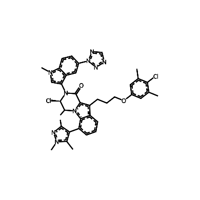 Cc1cc(OCCCc2c3n(c4c(-c5c(C)nn(C)c5C)cccc24)C(C)[C@@H](Cl)N(c2cn(C)c4ccc(-n5ncnn5)cc24)C3=O)cc(C)c1Cl